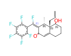 C=CC[C@@]12C(=CC(=O)/C(=C(/F)c3c(F)c(F)c(F)c(F)c3F)[C@@H]1C)CCC[C@@H]2O